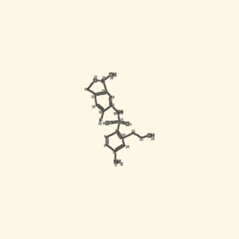 Nc1ccc(S(=O)(=O)Nc2cc3c(cc2F)COB3O)c(CCO)c1